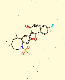 CNC(=O)c1c(-c2ccc(F)cc2)oc2cc3c(cc12)C(C)CCCCN3S(C)(=O)=O